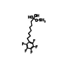 OC(O)(CCCCCCCc1c(F)c(F)c(F)c(F)c1F)O[SiH3]